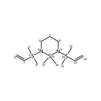 C=CS(C)(C)N1CCCN(S(C)(C)C=C)S1(C)C